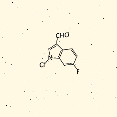 O=Cc1cn(Cl)c2cc(F)ccc12